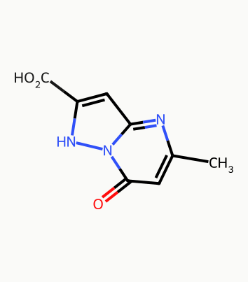 Cc1cc(=O)n2[nH]c(C(=O)O)cc2n1